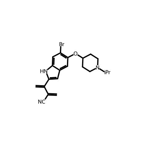 C=C(C#N)C(=C)c1cc2cc(OC3CCN(C(C)C)CC3)c(Br)cc2[nH]1